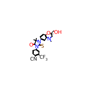 CN1C[C@H](CO)Oc2ccc(N3C(=S)N(c4ccc(C#N)c(C(F)(F)F)c4)C(=O)C3(C)C)cc21